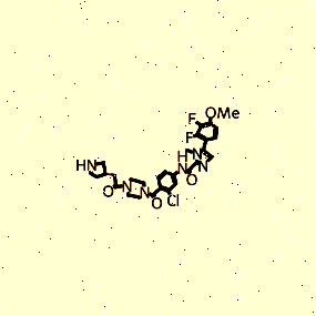 COc1ccc(-c2cnc(C(=O)Nc3ccc(C(=O)N4CCN(C(=O)C[C@H]5CCNC5)CC4)c(Cl)c3)n2C)c(F)c1F